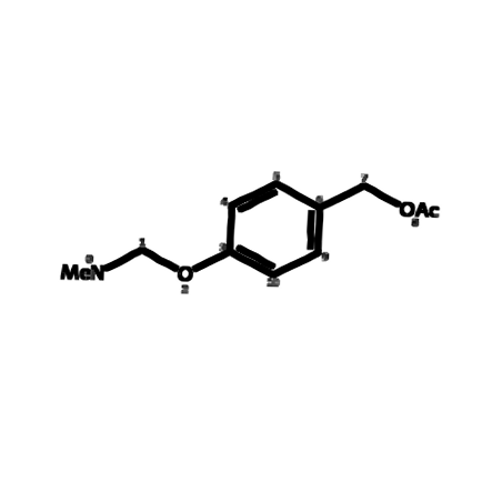 CNCOc1ccc(COC(C)=O)cc1